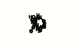 O=C1COc2ccc(cc2)C[C@@H](C(=O)O)NC(=O)[C@H](Cc2ccccc2C(F)(F)F)NC(=O)[C@@H](Cc2ccc(-c3ccccc3)cc2)NC(=O)[C@H](Cc2cccs2)N1